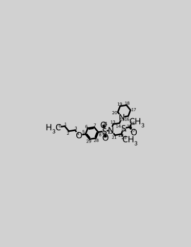 CCCCOc1ccc(S(=O)(=O)N(CCN2CCCCC2)CC(C)SC(C)=O)cc1